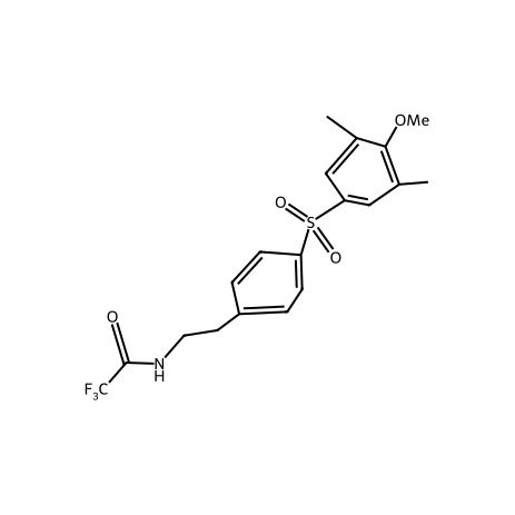 COc1c(C)cc(S(=O)(=O)c2ccc(CCNC(=O)C(F)(F)F)cc2)cc1C